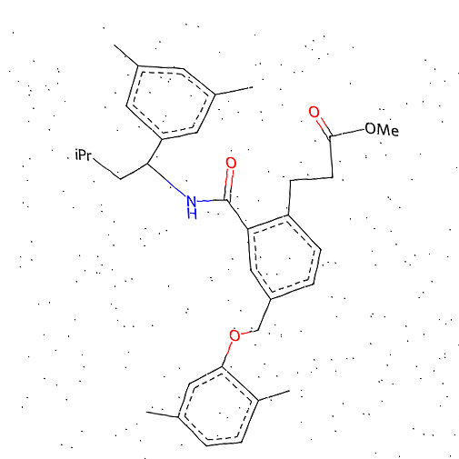 COC(=O)CCc1ccc(COc2cc(C)ccc2C)cc1C(=O)NC(CC(C)C)c1cc(C)cc(C)c1